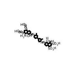 Cc1cc(-c2ccc(/N=N/c3ccc4c(S(=O)(=O)O)cc(S(=O)(=O)O)c(N)c4c3O)c(C)c2)ccc1/N=N/c1ccc2c(SOOO)cc(SOOO)c(N)c2c1O